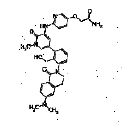 CN(C)c1ccc2c(c1)CCN(c1cccc(-c3cc(Nc4ccc(OCC(N)=O)cn4)c(=O)n(C)c3)c1CO)C2=O